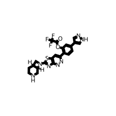 O=C(Oc1cc(-c2cn[nH]c2)ccc1-c1cc2sc(N3C[C@H]4CCNC[C@H]43)nc2nn1)C(F)(F)F